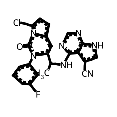 CC(Nc1ncnc2[nH]cc(C#N)c12)c1cc2ccc(Cl)n2c(=O)n1-c1cccc(F)c1